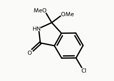 COC1(OC)NC(=O)c2cc(Cl)ccc21